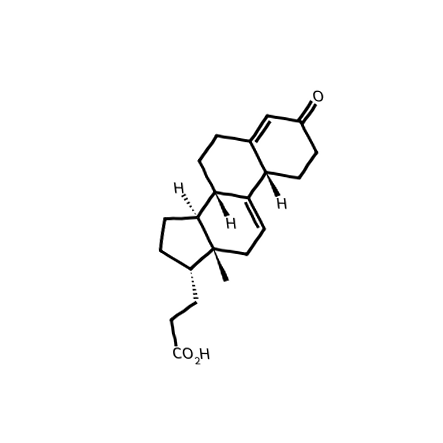 C[C@]12CC=C3[C@H]4CCC(=O)C=C4CC[C@H]3[C@@H]1CC[C@H]2CCC(=O)O